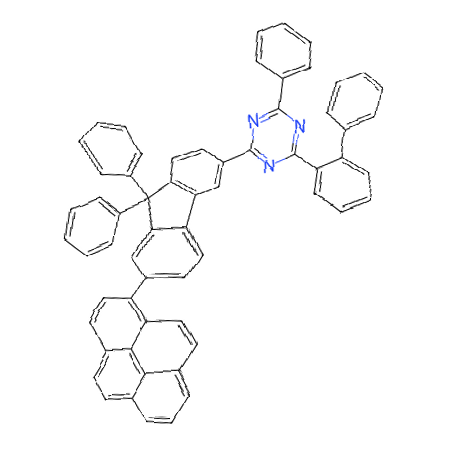 c1ccc(-c2nc(-c3ccc4c(c3)-c3ccc(-c5ccc6ccc7cccc8ccc5c6c78)cc3C4(c3ccccc3)c3ccccc3)nc(-c3ccccc3-c3ccccc3)n2)cc1